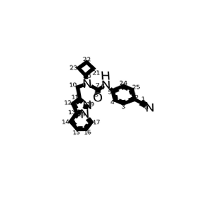 N#Cc1ccc(NC(=O)N(Cc2cc3ccccn3n2)C2CCC2)cc1